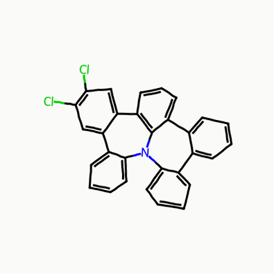 Clc1cc2c(cc1Cl)-c1cccc3c1N(c1ccccc1-c1ccccc1-3)c1ccccc1-2